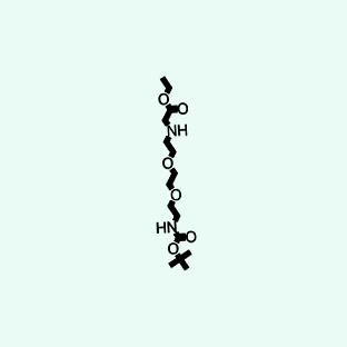 CCOC(=O)CNCCOCCOCCNC(=O)OC(C)(C)C